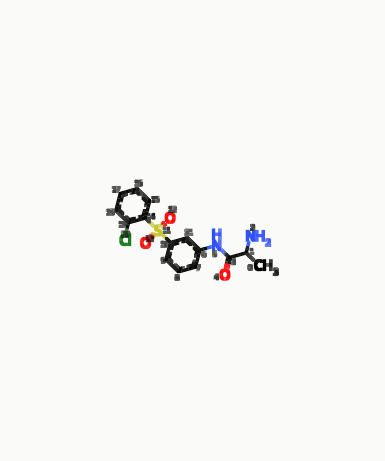 CC(N)C(=O)Nc1cccc(S(=O)(=O)c2ccccc2Cl)c1